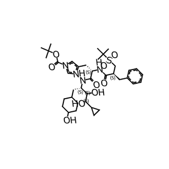 CC(C)(C)OC(=O)n1cnc(C[C@H](NC(=O)[C@H](Cc2ccccc2)CS(=O)(=O)C(C)(C)C)C(=O)N[C@@H](CC2CCC(O)CC2)[C@@H](O)[C@@H](O)C2CC2)c1